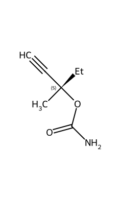 C#C[C@](C)(CC)OC(N)=O